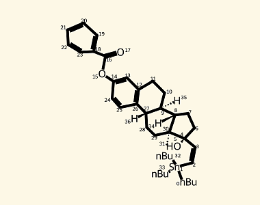 CCC[CH2][Sn](/[CH]=C\[C@]1(O)CC[C@H]2[C@@H]3CCc4cc(OC(=O)c5ccccc5)ccc4[C@H]3CC[C@@]21C)([CH2]CCC)[CH2]CCC